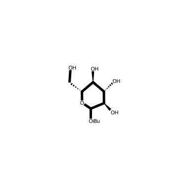 CC(C)COC1O[C@H](CO)[C@@H](O)[C@H](O)[C@H]1O